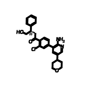 Nc1ncc(C2CCOCC2)cc1-c1ccc(C(=O)C[C@H](CO)c2ccccc2)c(Cl)c1